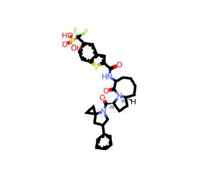 O=C(NC1CCCC[C@H]2CC[C@@H](C(=O)N3CC(c4ccccc4)CC34CC4)N2C1=O)c1cc2cc(C(F)(F)P(=O)(O)O)ccc2s1